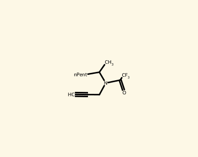 C#CCN(C(=O)C(F)(F)F)C(C)CCCCC